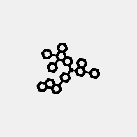 c1ccc(-c2ccc(N(c3ccc(-c4cccc5c4ccc4ccccc45)cc3)c3ccc4c(c3)c(-c3ccccc3)c(-c3ccccc3)c3ccccc34)c3ccccc23)cc1